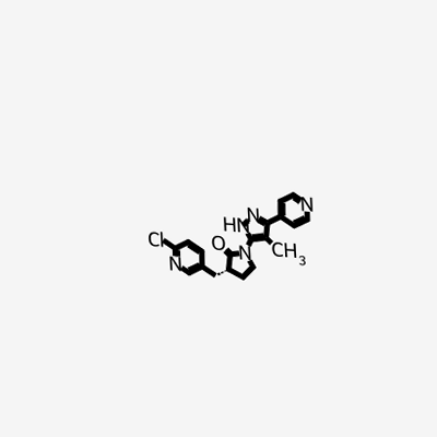 Cc1c(-c2ccncc2)n[nH]c1N1CC[C@H](Cc2ccc(Cl)nc2)C1=O